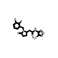 Cc1nonc1NC(=O)CC1CCC(=O)N1Cc1cccc(F)c1F